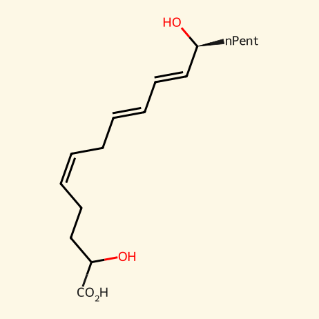 CCCCC[C@H](O)/C=C/C=CC/C=C\CCC(O)C(=O)O